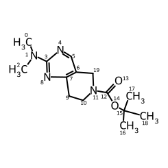 CN(C)c1ncc2c(n1)CCN(C(=O)OC(C)(C)C)C2